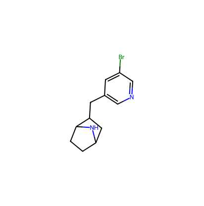 Brc1cncc(CC2CC3CCC2N3)c1